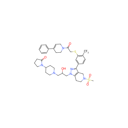 CS(=O)(=O)N1CCc2c(c(-c3ccc(C(F)(F)F)c(SCC(=O)N4CC=C(c5ccccc5)CC4)c3)nn2CC(O)CN2CCC(N3CCCC3=O)CC2)C1